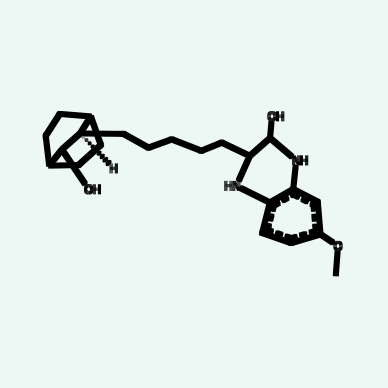 COc1ccc2c(c1)NC(O)C(CCCCC[C@@H]1C3CCC(CC3)C1O)N2